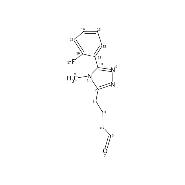 Cn1c(CCCC=O)nnc1-c1ccccc1F